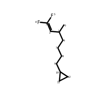 CC(C=C(F)F)CCCCC1[CH]C1